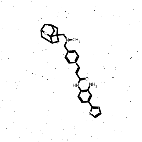 CN(Cc1ccc(/C=C/C(=O)Nc2ccc(-c3cccs3)cc2N)cc1)CC12CC3CC4CC(C1)C2(C4)C3